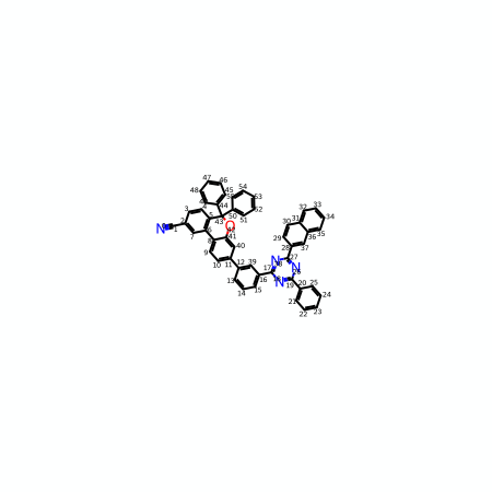 N#Cc1ccc2c(c1)-c1ccc(-c3cccc(-c4nc(-c5ccccc5)nc(-c5ccc6ccccc6c5)n4)c3)cc1OC2(c1ccccc1)c1ccccc1